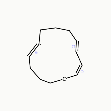 [C]1=C/CCCC/C=C\C=C\CCC/1